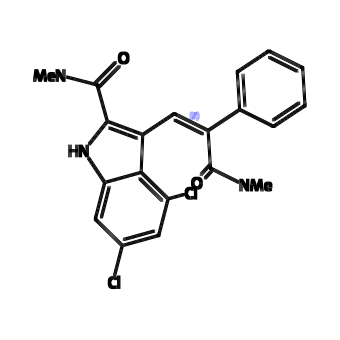 CNC(=O)/C(=C\c1c(C(=O)NC)[nH]c2cc(Cl)cc(Cl)c12)c1ccccc1